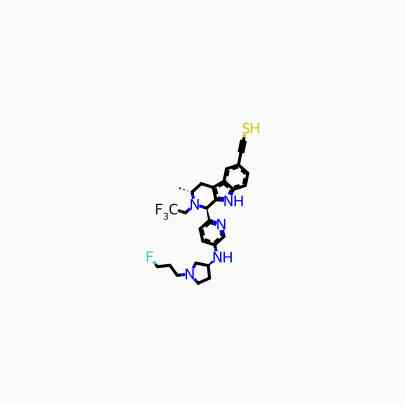 C[C@@H]1Cc2c([nH]c3ccc(C#CS)cc23)[C@@H](c2ccc(N[C@H]3CCN(CCCF)C3)cn2)N1CC(F)(F)F